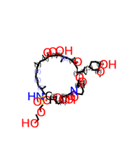 CO[C@@H]1C[C@H](C[C@@H](C)[C@@H]2CC(=O)[C@H](C)/C=C(\C)[C@@H](O)[C@@H](OC)C(=O)[C@H](C)C[C@H](C)/C=C/C=C/C=C(\C)C(NS(=O)(=O)CCOCCO)C[C@@H]3CC[C@@H](C)[C@@](O)(O3)C(=O)C(=O)N3CCCC[C@H]3C(=O)O2)CC[C@H]1O